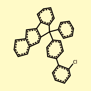 Clc1ccccc1-c1ccc(C2(c3ccccc3)c3ccccc3-c3cc4ccccc4cc32)cc1